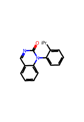 CC(C)c1ccccc1-n1c(=O)ncc2ccccc21